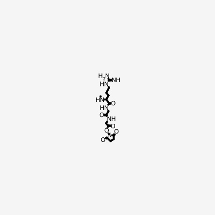 CNC(CCCNC(=N)N)C(=O)NCC(=O)NCC(=O)ON1C(=O)CCC1=O